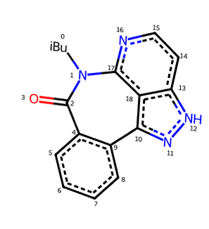 CCC(C)N1C(=O)c2ccccc2-c2n[nH]c3ccnc1c23